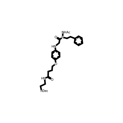 CCCCCCCCCCCCNC(=O)CCCOc1ccc(NCC(=O)N(CCc2ccccc2)NC(C)=O)cc1